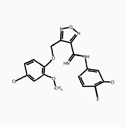 COc1cc(Cl)ccc1OCc1nonc1C(=N)Nc1ccc(F)c(Cl)c1